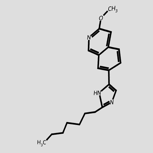 CCCCCCCc1ncc(-c2ccc3cc(OC)ncc3c2)[nH]1